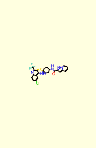 O=C(N[C@H]1CC[C@@](S)(Nc2cc(C(F)(F)F)nc3ccc(Cl)cc23)CC1)c1cc2ccccn2n1